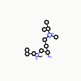 CCC1Nc2cc(-c3cccc4ccccc34)ccc2N1c1cccc(-c2cc(N)ccc2-c2ccc(-c3cccc(C4=NC(c5ccc(-c6ccccc6)c6ccccc56)NC(c5ccccc5)=N4)c3)cc2)c1